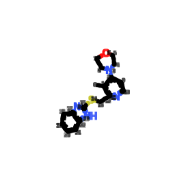 Cc1c(N2CCOCC2)ccnc1CSc1nc2ccccc2[nH]1